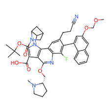 COCOc1cc(-c2c(CCC#N)cc3c(nc(OC[C@@H]4CCCN4C)c4c(C(=O)O)cn(C5C6CC5N(C(=O)OC(C)(C)C)C6)c43)c2F)c2ccccc2c1